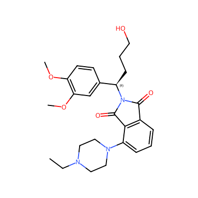 CCN1CCN(c2cccc3c2C(=O)N([C@H](CCCO)c2ccc(OC)c(OC)c2)C3=O)CC1